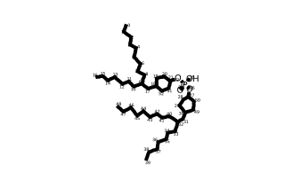 CCCCCCCCCC(CCCCCCC)CC1CCC(OP(=O)(O)OC2CCC(CC(CCCCCCC)CCCCCCCCC)CC2)CC1